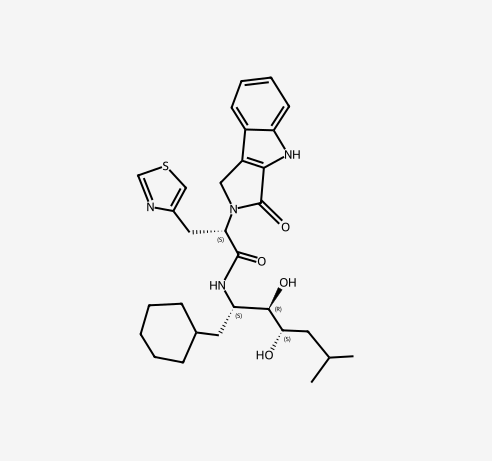 CC(C)C[C@H](O)[C@H](O)[C@H](CC1CCCCC1)NC(=O)[C@H](Cc1cscn1)N1Cc2c([nH]c3ccccc23)C1=O